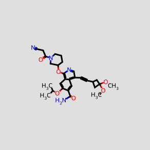 COC1(OC)CC(C#Cc2cnc(OC3CCCN(C(=O)CC#N)C3)c3cc(OC(C)C)c(C(N)=O)cc23)C1